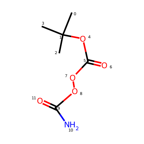 CC(C)(C)OC(=O)OOC(N)=O